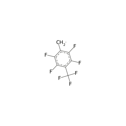 [CH2]c1c(F)c(F)c(C(F)(F)F)c(F)c1F